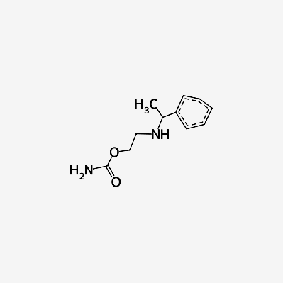 CC(NCCOC(N)=O)c1ccccc1